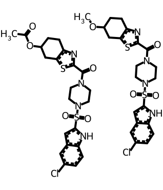 CC(=O)OC1CCc2nc(C(=O)N3CCN(S(=O)(=O)c4cc5cc(Cl)ccc5[nH]4)CC3)sc2C1.COC1CCc2nc(C(=O)N3CCN(S(=O)(=O)c4cc5cc(Cl)ccc5[nH]4)CC3)sc2C1